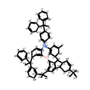 CC1=CC2=C3B4C5=CC(CC=C5N2c2ccc(C(C)(c5ccccc5)C5C=CC=CC5)cc2)C(C)(c2ccccc2)C2=CCCC(=C2)C(C)(C)C2=CC4C4C(=C2)C2CC(C(C)(C)C)C=CC2C4C3C1